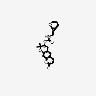 CC1(C)Oc2cc3oc(=O)ccc3cc2C[C@H]1OC(=O)N/C=C1/C2=CC=COC21